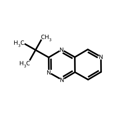 CC(C)(C)c1nnc2ccncc2n1